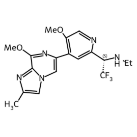 CCN[C@@H](c1cc(-c2cn3cc(C)nc3c(OC)n2)c(OC)cn1)C(F)(F)F